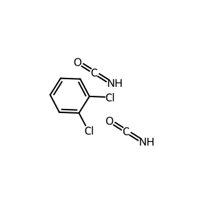 Clc1ccccc1Cl.N=C=O.N=C=O